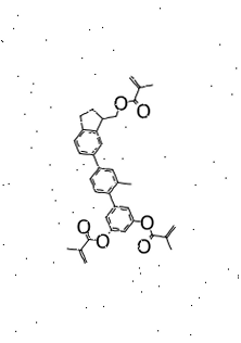 C=C(C)C(=O)OCC1CCc2ccc(-c3ccc(-c4cc(OC(=O)C(=C)C)cc(OC(=O)C(=C)C)c4)c(C)c3)cc21